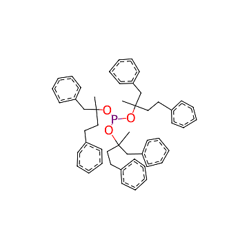 CC(CCc1ccccc1)(Cc1ccccc1)OP(OC(C)(CCc1ccccc1)Cc1ccccc1)OC(C)(CCc1ccccc1)Cc1ccccc1